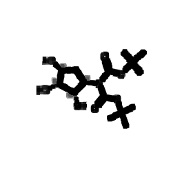 CC(C)(C)OC(=O)N(C(=O)OC(C)(C)C)[C@@H]1C[C@H](O)[C@@H](O)[C@H]1O